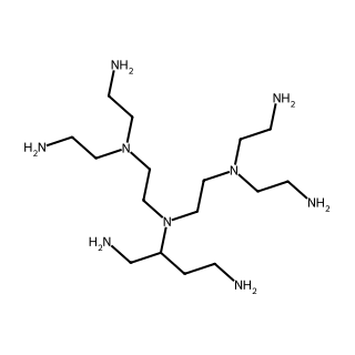 NCCC(CN)N(CCN(CCN)CCN)CCN(CCN)CCN